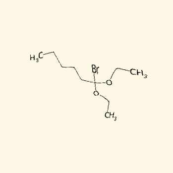 CCCCCC(Br)(OCC)OCC